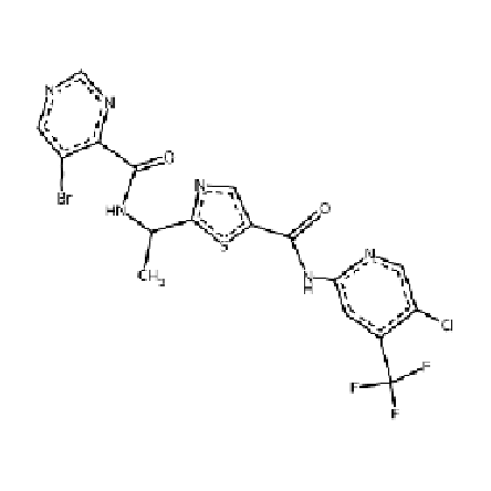 CC(NC(=O)c1ncncc1Br)c1ncc(C(=O)Nc2cc(C(F)(F)F)c(Cl)cn2)s1